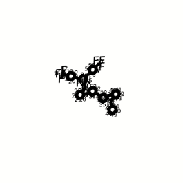 FC(F)(F)c1ccc(-c2cc(-c3ccc(C(F)(F)F)cc3)nc(-n3c4ccccc4c4cc(-c5ccc6c(c5)c5ccccc5n6-c5ccccc5)ccc43)n2)cc1